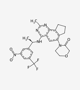 Cc1nc(N[C@H](C)c2cc([N+](=O)[O-])cc(C(F)(F)F)c2)c2cc(N3CCOCC3=O)c3c(c2n1)CCC3